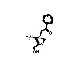 CC1=C(CO)SCN1CC(=O)c1ccccc1